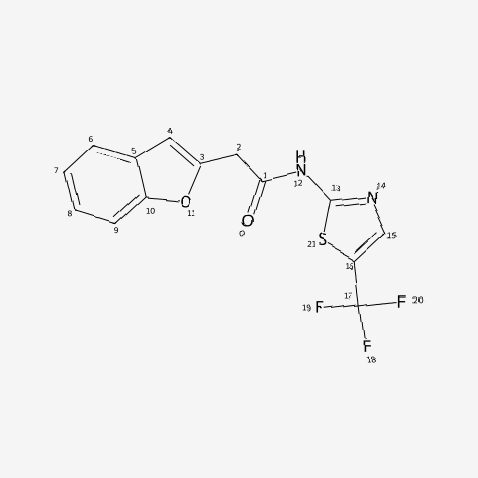 O=C(Cc1cc2ccccc2o1)Nc1ncc(C(F)(F)F)s1